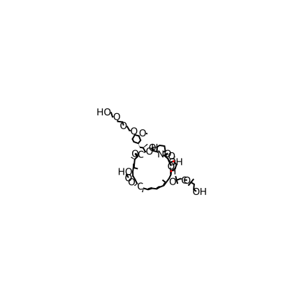 CO[C@@H]1C[C@H](C[C@@H](C)[C@@H]2CC(=O)[C@H](C)/C=C(\C)[C@@H](O)[C@@H](OC)C(=O)[C@H](C)C[C@H](C)/C=C/C=C/C=C(\C)[C@H](OC(C)(C)CCOC(C)(C)CCO)C[C@@H]3CC[C@@H](C)[C@@](O)(O3)C(=O)C(=O)N3CCCC[C@H]3C(=O)O2)CC[C@H]1OCCOCCOCCO